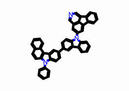 c1ccc(-n2c3ccc(-c4ccc5c(c4)c4ccccc4n5-c4cc5c6c(cncc6c4)-c4ccccc4-5)cc3c3c4ccccc4ccc32)cc1